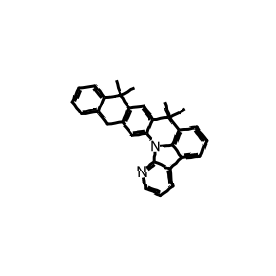 CC1(C)c2ccccc2Cc2cc3c(cc21)C(C)(C)c1cccc2c4cccnc4n-3c12